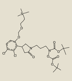 CC(C)(C)OC(=O)ON(CCCN1CC(c2c(OCOCC[Si](C)(C)C)ccc(Cl)c2Cl)CC1=O)C(=O)OC(C)(C)C